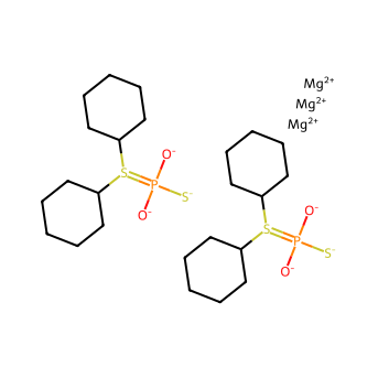 [Mg+2].[Mg+2].[Mg+2].[O-]P([O-])([S-])=S(C1CCCCC1)C1CCCCC1.[O-]P([O-])([S-])=S(C1CCCCC1)C1CCCCC1